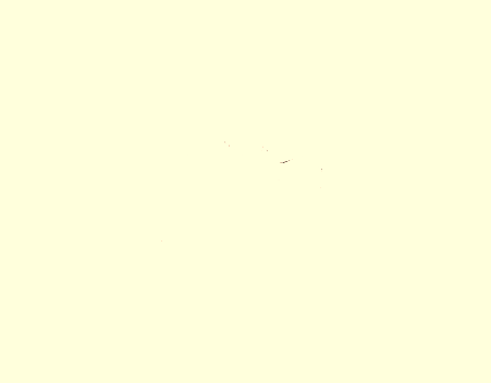 CC(=O)N1CCC[C@@H]1C(=O)Nc1nc2ccc3cc(Cl)ccc3c2s1